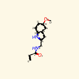 C=CC(=O)NCc1cc2cc(OC)ccc2[nH]1